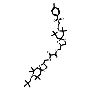 Cc1ccc(S(=O)(=O)CON2C(C)(C)CC3(CC2(C)C)OCC(COC(=O)C(=O)OCC2COC4(CC(C)(C)N(OCC(C)(C)C)C(C)(C)C4)O2)O3)cc1